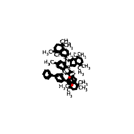 Cc1cc2c3c(c1)N(c1cc(-c4ccccc4)ccc1-c1ccccc1)c1c(sc4cc5c(cc14)C(C)(C)CCC5(C)C)B3c1cc3c(cc1N2c1ccc2c(c1)C(C)(C)CCC2(C)C)C(C)(C)CCC3(C)C